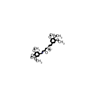 COc1cc(C=C[S+]([O-])CC(=O)/C=C/c2cc(OC)c(OC)c(OC)c2)cc(OC)c1OC